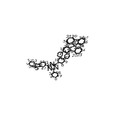 c1ccc(-c2nc(-c3ccc4c(c3)Oc3ccc5c(c3O4)-c3ccccc3C5(c3ccccc3)c3ccccc3)nc(-c3ccc4c(c3)sc3ccccc34)n2)cc1